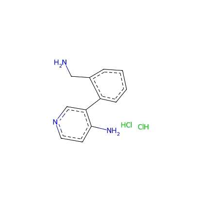 Cl.Cl.NCc1ccccc1-c1cnccc1N